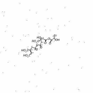 CCC(O)C(=O)OC(=O)CC(O)(CC(=O)OC(=O)CC(=CC(=O)O)C(=O)O)C(=O)O